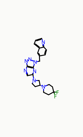 FC1(F)CCN([C@H]2CCN(c3cnc4nnn(Cc5ccc6ncccc6c5)c4n3)C2)CC1